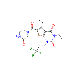 CCc1c(C(=O)N2CCNC(=O)C2)sc2c1c(=O)n(CC)c(=O)n2CCC(F)(F)F